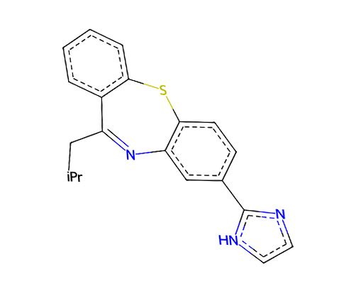 CC(C)CC1=Nc2cc(-c3ncc[nH]3)ccc2Sc2ccccc21